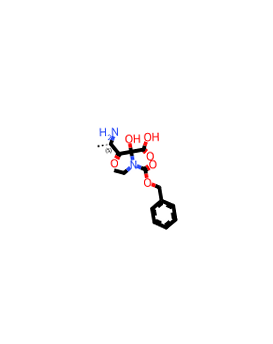 CCN(C(=O)OCc1ccccc1)C(O)(C(=O)O)C(=O)[C@H](C)N